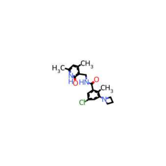 Cc1cc(C)c(CNC(=O)c2cc(Cl)cc(N3CCC3)c2C)c(=O)[nH]1